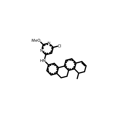 COc1nc(Cl)cc(Nc2ccc3c(c2)-c2ccc4c(c2CC3)C(C)CC=C4)n1